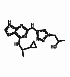 CC(O)Cn1cc(Nc2nc(NC(C)C3CC3)c3cc[nH]c3n2)nn1